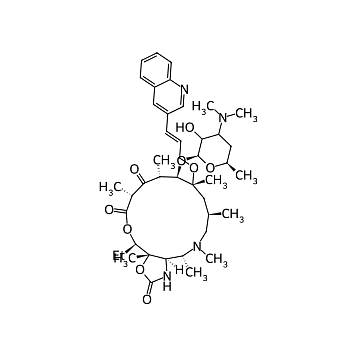 CC[C@H]1OC(=O)[C@H](C)C(=O)[C@H](C)[C@@H](O[C@@H]2O[C@H](C)CC(N(C)C)C2O)[C@](C)(OC/C=C/c2cnc3ccccc3c2)C[C@@H](C)CN(C)[C@H](C)[C@H]2NC(=O)O[C@@]21C